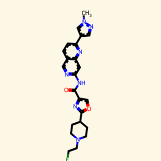 Cn1cc(-c2ccc3cnc(NC(=O)c4coc(C5CCN(CCF)CC5)n4)cc3n2)cn1